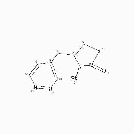 CCC1C(=O)SCC1Cc1ccnnc1